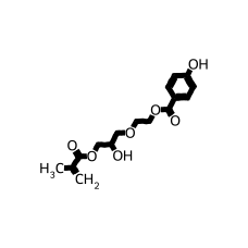 C=C(C)C(=O)OCC(O)COCCOC(=O)c1ccc(O)cc1